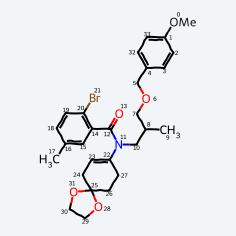 COc1ccc(COCC(C)CN(C(=O)c2cc(C)ccc2Br)C2=CCC3(CC2)OCCO3)cc1